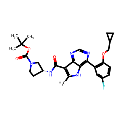 Cc1[nH]c2c(-c3cc(F)ccc3OCC3CC3)ncnc2c1C(=O)N[C@@H]1CCN(C(=O)OC(C)(C)C)C1